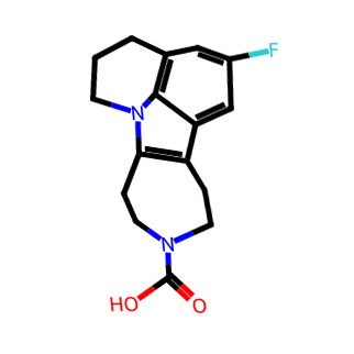 O=C(O)N1CCc2c(n3c4c(cc(F)cc24)CCC3)CC1